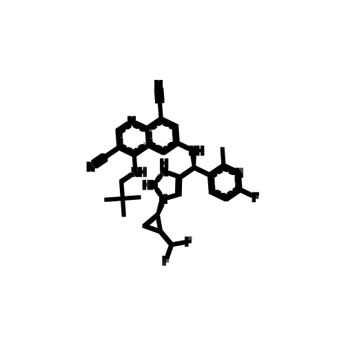 Cc1nc(F)ccc1[C@H](Nc1cc(C#N)c2ncc(C#N)c(NCC(C)(C)C)c2c1)C1=CN([C@@H]2CC2C(F)F)NN1